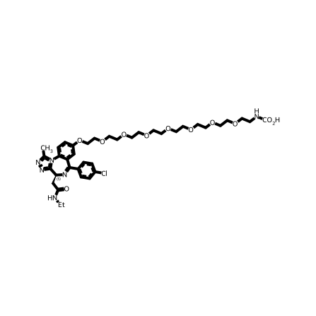 CCNC(=O)C[C@@H]1N=C(c2ccc(Cl)cc2)c2cc(OCCOCCOCCOCCOCCOCCOCCOCCNC(=O)O)ccc2-n2c(C)nnc21